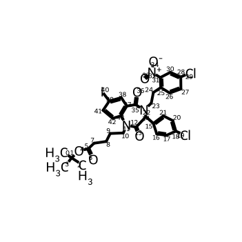 CC(C)(C)OC(=O)CCCCN1C(=O)C(c2ccc(Cl)cc2)N(CCc2ccc(Cl)cc2[N+](=O)[O-])C(=O)c2cc(I)ccc21